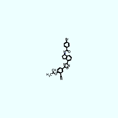 CC(C)Oc1ccc(-c2nc(-c3cccc4c3CC/C4=N/C(=O)c3ccc(Br)cc3)no2)cc1C#N